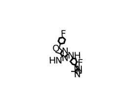 CNc1nc(Nc2ccc(-n3ncnc3C)c(F)c2)nc2c1COC2c1ccc(F)cc1